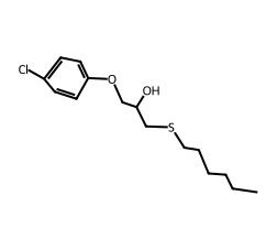 CCCCCCSCC(O)COc1ccc(Cl)cc1